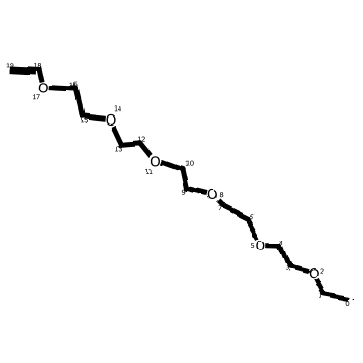 [CH2]COCCOCCOCCOCCOCCOC=C